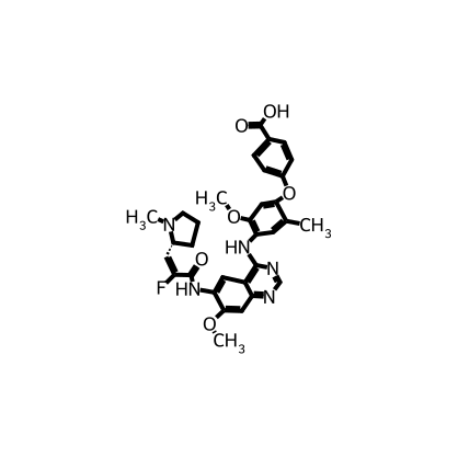 COc1cc2ncnc(Nc3cc(C)c(Oc4ccc(C(=O)O)cc4)cc3OC)c2cc1NC(=O)/C(F)=C\[C@H]1CCCN1C